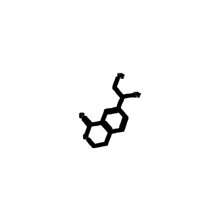 CC(C)CC(c1ccc2c(c1)C(=O)OCC2)C(C)C